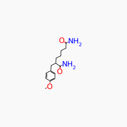 COc1ccc(CC(CCCCC(N)=O)C(N)=O)cc1